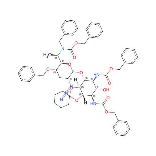 C[C@H]([C@H]1OC(O[C@@H]2[C@@H](NC(=O)OCc3ccccc3)[C@H](O)[C@@H](NC(=O)OCc3ccccc3)[C@@H]3OC4(CCCCC4)O[C@@H]23)[C@H](N=[N+]=[N-])C[C@@H]1OCc1ccccc1)N(Cc1ccccc1)C(=O)OCc1ccccc1